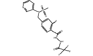 CS(=O)(=O)N(Cc1ccc(C(=O)NNC(=O)C(F)(F)F)c(F)c1)c1cccnc1